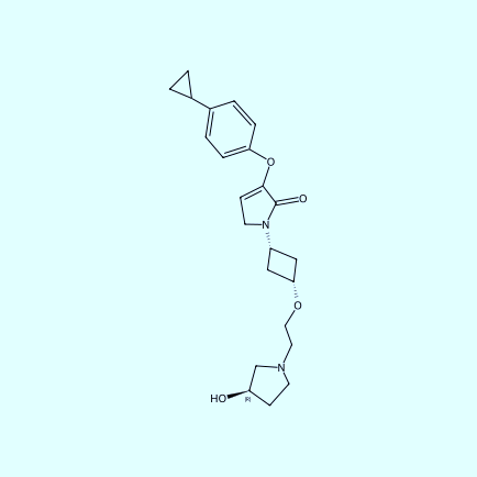 O=C1C(Oc2ccc(C3CC3)cc2)=CCN1[C@H]1C[C@@H](OCCN2CC[C@@H](O)C2)C1